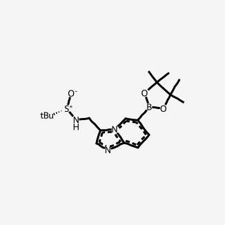 CC(C)(C)[S@+]([O-])NCc1cnc2ccc(B3OC(C)(C)C(C)(C)O3)cn12